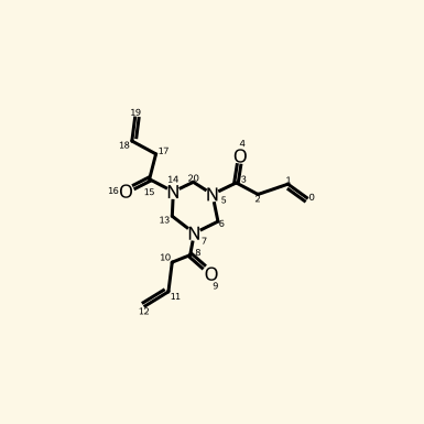 C=CCC(=O)N1CN(C(=O)CC=C)CN(C(=O)CC=C)C1